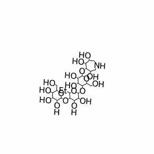 CCC1OC(OC2C(CO)OC(OC3C(O)CNCC(O)C3O)C(O)C2O)C(O)C(O)C1OC1OC(CO)C(O)C(O)C1O